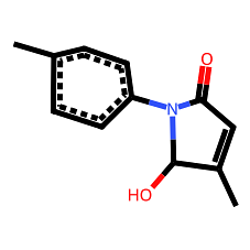 CC1=CC(=O)N(c2ccc(C)cc2)C1O